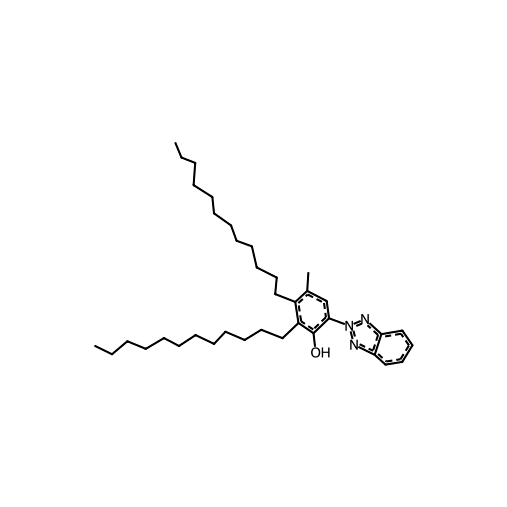 CCCCCCCCCCCCc1c(C)cc(-n2nc3ccccc3n2)c(O)c1CCCCCCCCCCCC